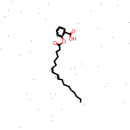 CCCCCCCC/C=C/C=C\CCCCCC(=O)Oc1ccccc1C(=O)O